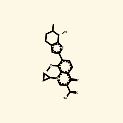 COc1c(-c2cc3c(s2)[C@@H](O)C(C)CC3)ccc2c(=O)c(C(=O)O)cn(C3CC3)c12